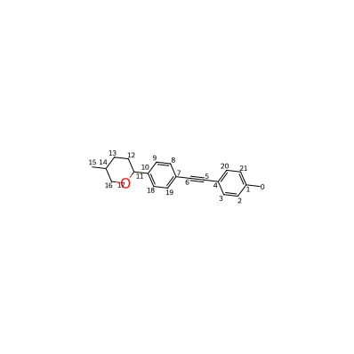 Cc1ccc(C#Cc2ccc(C3CCC(C)CO3)cc2)cc1